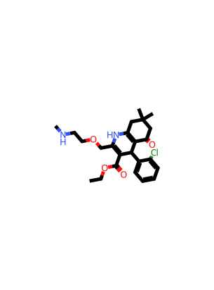 CCOC(=O)C1=C(COCCNC)NC2=C(C(=O)CC(C)(C)C2)C1c1ccccc1Cl